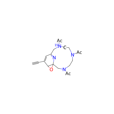 C#CC1=CC2=NC3(CN(C(C)=O)CCN(C(C)=O)CC[15N](C(C)=O)C2)OC13